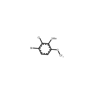 CSc1c(OC(F)(F)F)ccc(Br)c1Cl